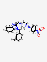 O=[N+]([O-])c1ccc(N2CCN(Cc3nc4ccccc4n3CC3CCCCC3)CC2)cc1